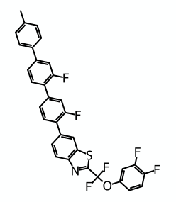 Cc1ccc(-c2ccc(-c3ccc(-c4ccc5nc(C(F)(F)Oc6ccc(F)c(F)c6)sc5c4)c(F)c3)c(F)c2)cc1